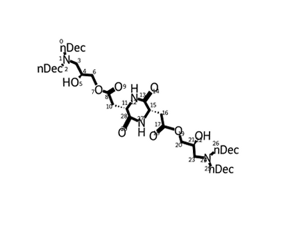 CCCCCCCCCCN(CCCCCCCCCC)C[C@H](O)COC(=O)C[C@@H]1NC(=O)[C@H](CC(=O)OC[C@@H](O)CN(CCCCCCCCCC)CCCCCCCCCC)NC1=O